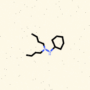 CCCCN(CCCC)NC1CCCCC1